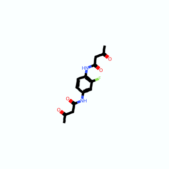 CC(=O)CC(=O)Nc1ccc(NC(=O)CC(C)=O)c(F)c1